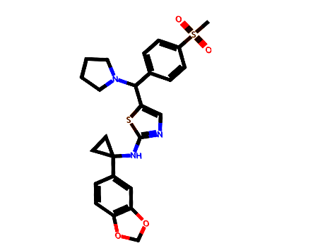 CS(=O)(=O)c1ccc(C(c2cnc(NC3(c4ccc5c(c4)OCO5)CC3)s2)N2CCCC2)cc1